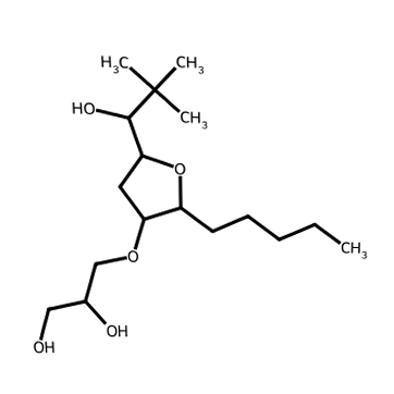 CCCCCC1OC(C(O)C(C)(C)C)CC1OCC(O)CO